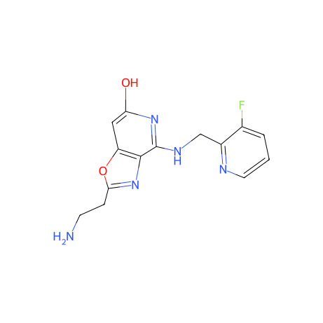 NCCc1nc2c(NCc3ncccc3F)nc(O)cc2o1